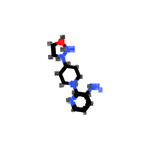 Nc1cccnc1N1CCC(N2C=CON2)CC1